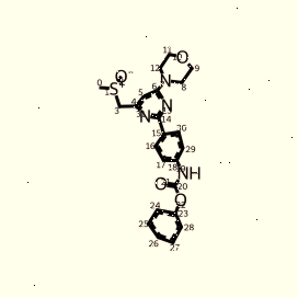 C[S+]([O-])Cc1cc(N2CCOCC2)nc(-c2ccc(NC(=O)Oc3ccccc3)cc2)n1